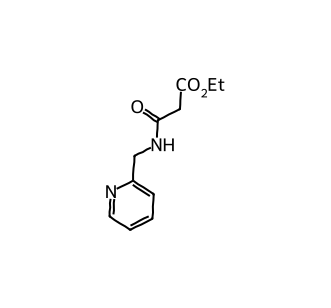 CCOC(=O)CC(=O)NCc1ccccn1